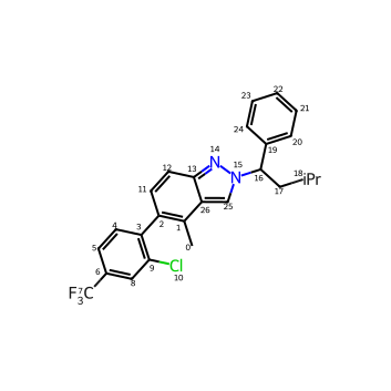 Cc1c(-c2ccc(C(F)(F)F)cc2Cl)ccc2nn(C(CC(C)C)c3ccccc3)cc12